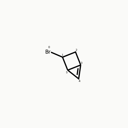 BrC1CC2=CC21